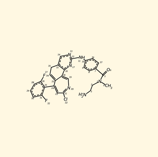 CN(CCN)C(=O)c1ccc(Nc2ncc3c(n2)C2=CN=C(Cl)C=C(c4c(F)cccc4F)C2=CC3)cc1